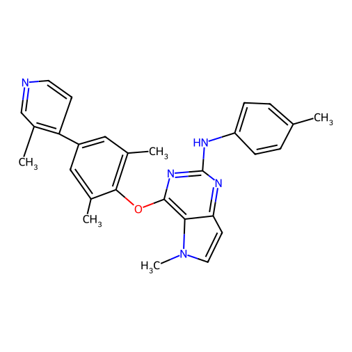 Cc1ccc(Nc2nc(Oc3c(C)cc(-c4ccncc4C)cc3C)c3c(ccn3C)n2)cc1